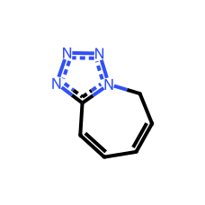 C1=CCn2nnnc2C=C1